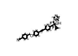 N#Cc1ccc(COc2ccc(C#Cc3ccc(C(F)(F)C(O)(Cn4cnnn4)C4CC4)nc3)cc2)cc1